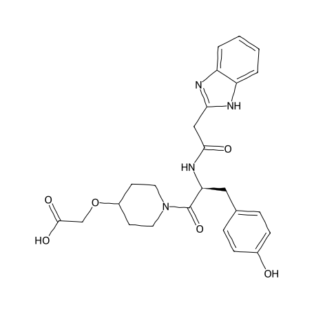 O=C(O)COC1CCN(C(=O)[C@H](Cc2ccc(O)cc2)NC(=O)Cc2nc3ccccc3[nH]2)CC1